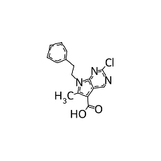 Cc1c(C(=O)O)c2cnc(Cl)nc2n1CCc1ccccc1